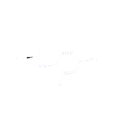 C[C@@H](Nc1ccc([N+](=O)[O-])cc1[N+](=O)[O-])C(=O)O